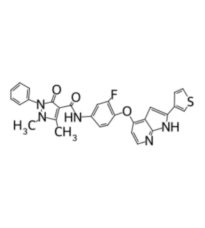 Cc1c(C(=O)Nc2ccc(Oc3ccnc4[nH]c(-c5ccsc5)cc34)c(F)c2)c(=O)n(-c2ccccc2)n1C